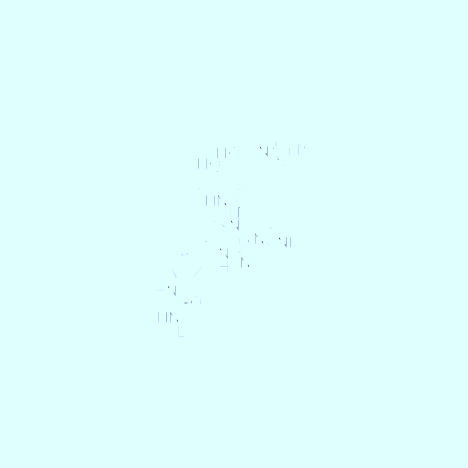 CCCS(=O)(=O)NC[C@H](O)C[C@H](O)[C@H](CC1CCCCC1)NC(=O)[C@H](Cc1c[nH]cn1)NC(=O)[C@H](Cc1ccc(NC(=O)NCC)cc1)NC(=O)N1CCCCC1